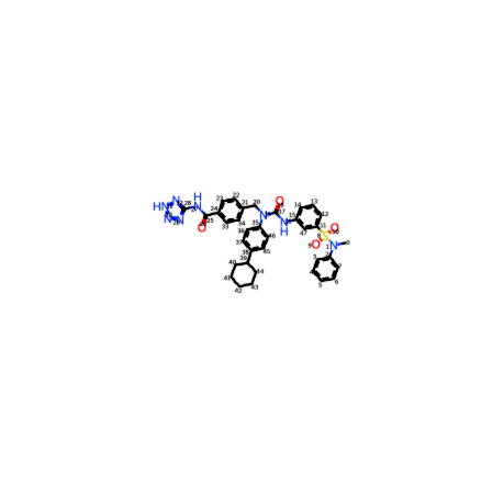 CN(c1ccccc1)S(=O)(=O)c1cccc(NC(=O)N(Cc2ccc(C(=O)Nc3nn[nH]n3)cc2)c2ccc(C3CCCCC3)cc2)c1